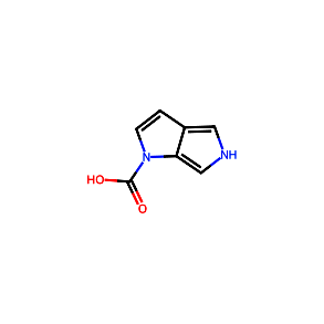 O=C(O)n1ccc2c[nH]cc21